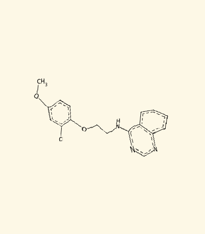 COc1ccc(OCCNc2ncnc3ccccc23)c(Cl)c1